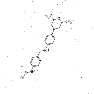 CC1CN(c2ccc(NCc3ccc(NSC(C)C)cc3)cc2)CC(C)O1